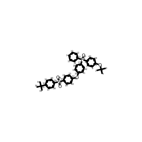 CC(C)(C)Oc1ccc(P(=O)(c2ccccc2)c2ccc(Oc3ccc(S(=O)(=O)c4ccc(C(C)(C)C)cc4)cc3)cc2)cc1